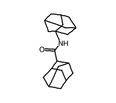 O=C(NC12CC3CC(CC(C3)C1)C2)C1C2CC3CC(C2)CC1C3